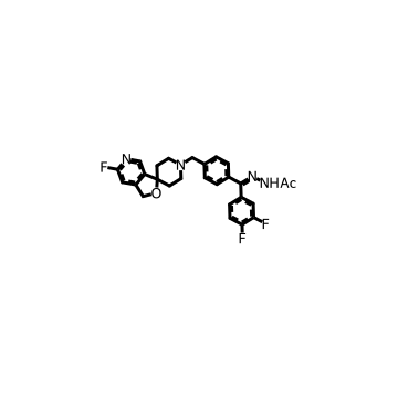 CC(=O)NN=C(c1ccc(CN2CCC3(CC2)OCc2cc(F)ncc23)cc1)c1ccc(F)c(F)c1